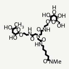 CNC(=O)CCCCCNC(=O)CN(CC(=O)NCCO[C@H]1O[C@H](CO)[C@@H](O)[C@H](O)[C@@H]1O)CC(=O)NCCO[C@@H]1O[C@@H](C)[C@@H](O)C[C@@H]1O